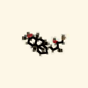 CC[C@H](CC[C@@H]1CCC[C@H]2[C@H]1CC[C@H]1C[C@@](O)(CC)CC[C@@H]12)C(=O)CBr